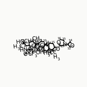 C[C@@H]1C[C@H]([C@H](NS(=O)(=O)C(F)(F)F)C(C)(C)O)O[C@H]2[C@H]1[C@@]1(C)CC[C@@]34C[C@@]35CCC(O[C@H]3CN(C6COC6)CCO3)C(C)(C)[C@@H]5CC[C@H]4[C@]1(C)[C@H]2O